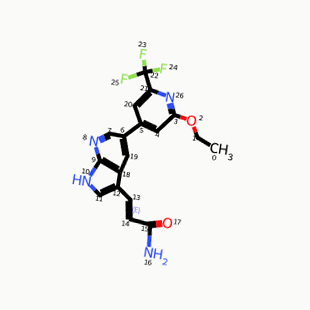 CCOc1cc(-c2cnc3[nH]cc(/C=C/C(N)=O)c3c2)cc(C(F)(F)F)n1